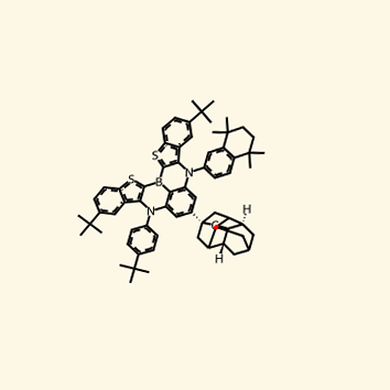 CC(C)(C)c1ccc(N2c3cc([C@]45CC6C7CC8C[C@H]6C(C4)[C@H](C8)C7C5)cc4c3B(c3sc5ccc(C(C)(C)C)cc5c32)c2sc3ccc(C(C)(C)C)cc3c2N4c2ccc3c(c2)C(C)(C)CCC3(C)C)cc1